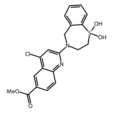 COC(=O)c1ccc2nc(N3CCS(O)(O)c4ccccc4C3)cc(Cl)c2c1